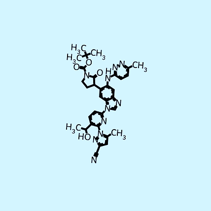 Cc1ccc(Nc2cc3ncn(-c4ccc(C(C)O)c(-n5nc(C#N)cc5C)n4)c3cc2C2CCN(C(=O)OC(C)(C)C)C2=O)nn1